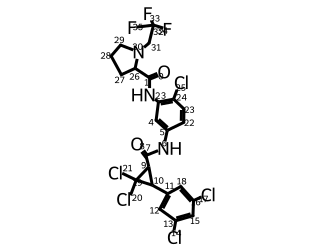 O=C(Nc1cc(NC(=O)C2C(c3cc(Cl)cc(Cl)c3)C2(Cl)Cl)ccc1Cl)C1CCCN1CC(F)(F)F